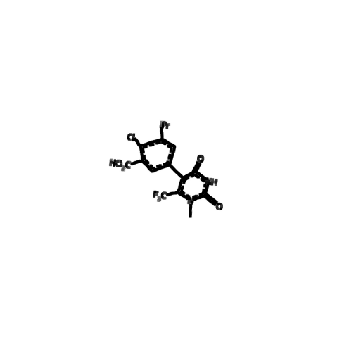 CC(C)c1cc(-c2c(C(F)(F)F)n(C)c(=O)[nH]c2=O)cc(C(=O)O)c1Cl